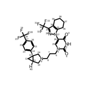 O=c1[nH]c(=O)n(CCCN2C[C@@H]3C[C@]3(c3ccc(C(F)(F)F)cc3)C2)cc1-n1nc(C(F)(F)F)c2c1CCCC2